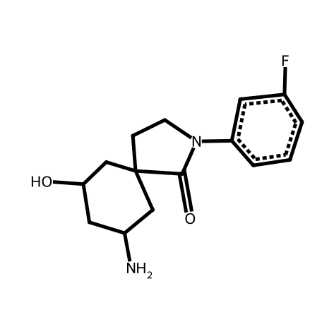 NC1CC(O)CC2(CCN(c3cccc(F)c3)C2=O)C1